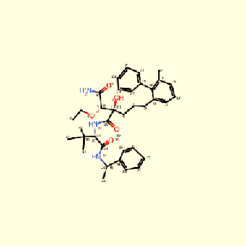 CCO[C@H](C(N)=O)[C@](O)(CCCc1cccc(C)c1-c1ccccc1)C(=O)N[C@H](C(=O)N[C@H](C)c1ccccc1)C(C)(C)C